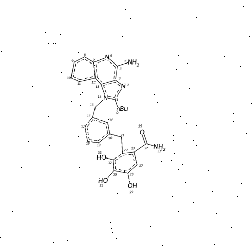 CCCCc1nc2c(N)nc3ccccc3c2n1Cc1cccc(Cc2c(C(N)=O)cc(O)c(O)c2O)c1